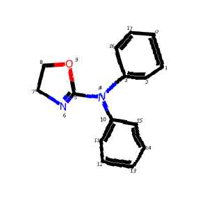 c1ccc(N(C2=NCCO2)c2ccccc2)cc1